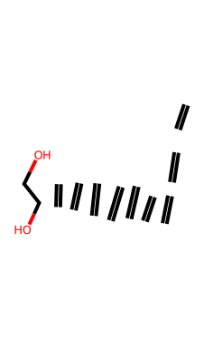 C=C.C=C.C=C.C=C.C=C.C=C.C=C.C=C.C=C.OCCO